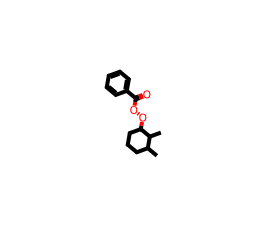 CC1CCC[C](OOC(=O)c2ccccc2)C1C